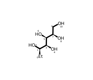 CC[C@@H](O)[C@H](O)[C@@H](O)[C@H](O)CO